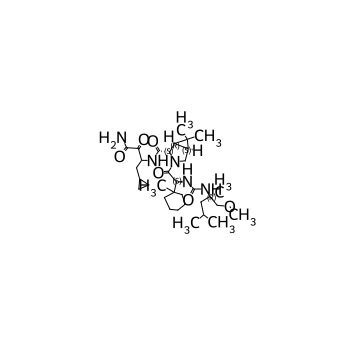 COC[C@@](C)(CC(C)C)NC(=O)N[C@H](C(=O)N1C[C@H]2[C@@H]([C@H]1C(=O)NC(CC1CC1)C(=O)C(N)=O)C2(C)C)C1(C)CCCCC1